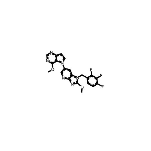 COc1ncnc2ccn(-c3cnc4nc(OC)n(Cc5ccc(F)c(F)c5F)c4c3)c12